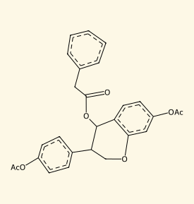 CC(=O)Oc1ccc(C2COc3cc(OC(C)=O)ccc3C2OC(=O)Cc2ccccc2)cc1